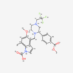 COC(=O)c1ccc(C2CN(CC(F)(F)F)CCN2Cc2c(OC)cc(C)c3c2ccn3C(=O)O)cc1